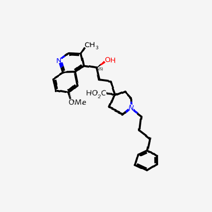 COc1ccc2ncc(C)c([C@@H](O)CCC3(C(=O)O)CCN(CCCc4ccccc4)CC3)c2c1